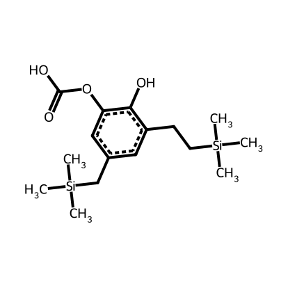 C[Si](C)(C)CCc1cc(C[Si](C)(C)C)cc(OC(=O)O)c1O